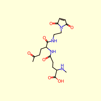 CNC(CCC(=O)NC(CCC(C)=O)C(=O)NCCN1C(=O)C=CC1=O)C(=O)O